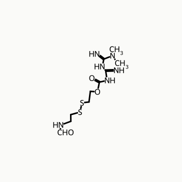 CN(C)C(=N)NC(=N)NC(=O)OCCSSCCNC=O